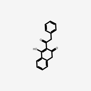 O=C(Cc1ccccc1)C1=C(O)c2ccccc2CC1=O